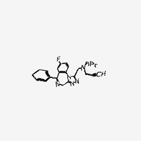 C#CCN(CCC)Cc1nnc2n1-c1ccc(F)cc1C(c1ccccc1)=NC2